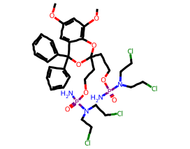 COc1cc(OC)c2c(c1)C(c1ccccc1)(c1ccccc1)OC(CCOP(N)(=O)N(CCCl)CCCl)(CCOP(N)(=O)N(CCCl)CCCl)O2